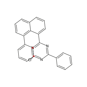 Clc1nc(-c2ccccc2)nc(-c2cccc3cccc(-c4ccccc4)c23)n1